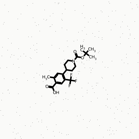 Cc1cc(C2CCN(C(=O)OC(C)(C)C)CC2)c(C(F)(F)F)cc1C(=O)O